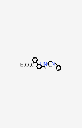 CCOC(=O)c1ccccc1-c1cccc(C(C)NC2CCN(Cc3ccccc3)CC2)c1